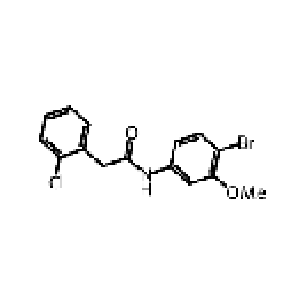 COc1cc(NC(=O)Cc2ccccc2Cl)ccc1Br